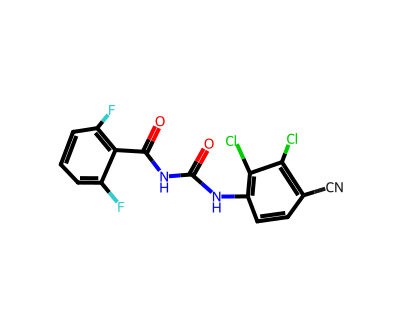 N#Cc1ccc(NC(=O)NC(=O)c2c(F)cccc2F)c(Cl)c1Cl